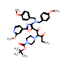 CCC(=O)C(C(=O)c1oc(-c2ccnc(OC)c2)nc1N(Cc1ccc(OC)cc1)Cc1ccc(OC)cc1)N1CCN(C(=O)OC(C)(C)C)CC1